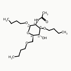 CCCCOC[C@H]1O[C@H](OCCCC)[C@@H](NC(C)=O)[C@@H](OCCCC)[C@@H]1O